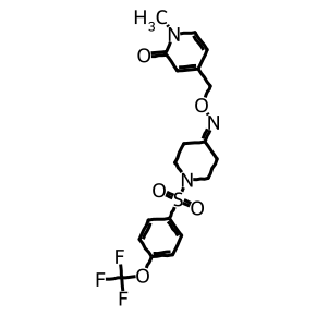 Cn1ccc(CON=C2CCN(S(=O)(=O)c3ccc(OC(F)(F)F)cc3)CC2)cc1=O